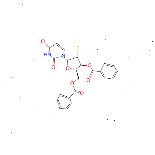 O=C(OC[C@H]1O[C@H](n2ccc(=O)[nH]c2=O)[C@H](F)[C@H]1OC(=O)c1ccccc1)c1ccccc1